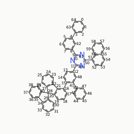 c1ccc(-c2cccc(-c3nc(-c4ccc(-c5cccc6c5-c5ccccc5C65c6ccccc6-c6ccccc65)c(-c5ccccc5)c4)nc(-c4cccc5ccccc45)n3)c2)cc1